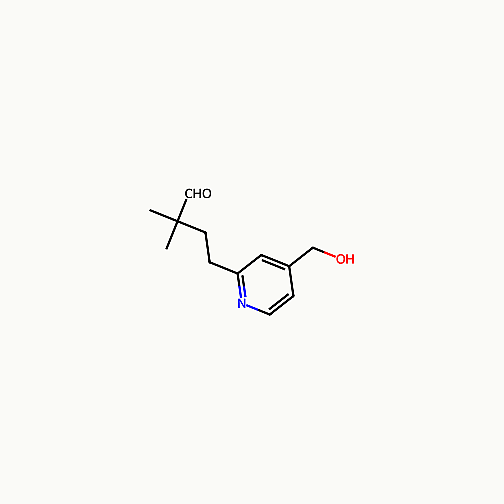 CC(C)(C=O)CCc1cc(CO)ccn1